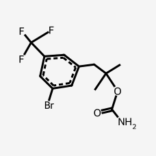 CC(C)(Cc1cc(Br)cc(C(F)(F)F)c1)OC(N)=O